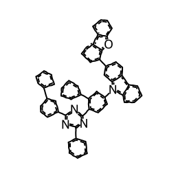 c1ccc(-c2cccc(-c3nc(-c4ccccc4)nc(-c4ccc(-n5c6ccccc6c6ccc(-c7cccc8c7oc7ccccc78)cc65)cc4-c4ccccc4)n3)c2)cc1